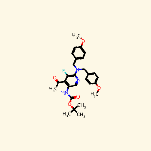 COc1ccc(CN(Cc2ccc(OC)cc2)c2ncc(NC(=O)OC(C)(C)C)c(C(C)=O)c2F)cc1